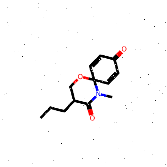 CCCC1COC2(C=CC(=O)C=C2)N(C)C1=O